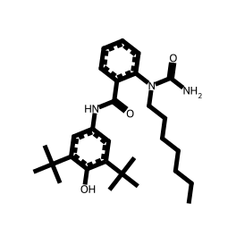 CCCCCCCN(C(N)=O)c1ccccc1C(=O)Nc1cc(C(C)(C)C)c(O)c(C(C)(C)C)c1